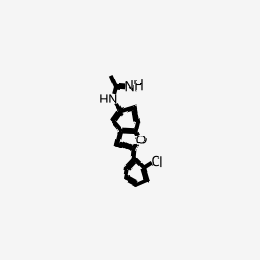 CC(=N)Nc1ccc2oc(-c3ccccc3Cl)cc2c1